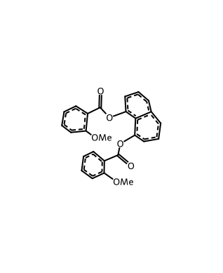 COc1ccccc1C(=O)Oc1cccc2cccc(OC(=O)c3ccccc3OC)c12